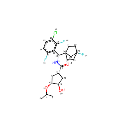 CC(C)O[C@H]1C[C@H](C(=O)N[C@H](c2c(F)ccc(Cl)c2F)C23CCC(F)(CC2)C3)C[C@H]1O